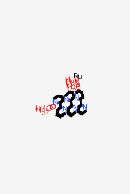 O.O.O.O.O.O.[Ru].c1ccc(-c2ccccn2)nc1.c1ccc(-c2ccccn2)nc1.c1ccc(-c2ccccn2)nc1